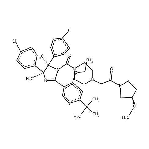 CCOc1cc(C(C)(C)C)ncc1C1=N[C@@](C)(c2ccc(Cl)cc2)[C@@](C)(c2ccc(Cl)cc2)N1C(=O)N1CCN(CC(=O)N2CC[C@@H](OC)C2)CC1